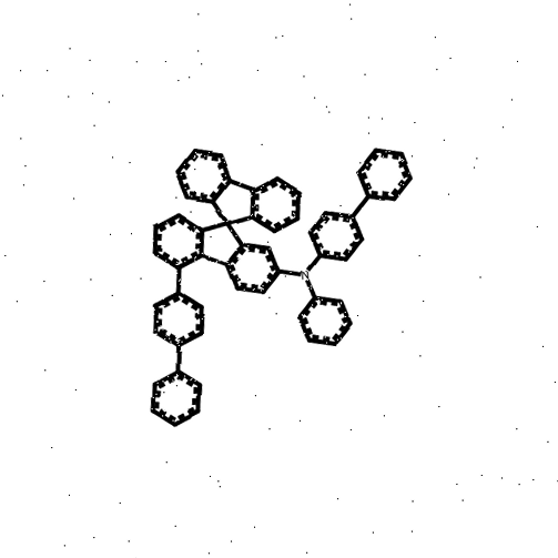 c1ccc(-c2ccc(-c3cccc4c3-c3ccc(N(c5ccccc5)c5ccc(-c6ccccc6)cc5)cc3C43c4ccccc4-c4ccccc43)cc2)cc1